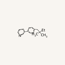 CCC(C)(C)Cc1ccc(-c2cccnc2)cc1